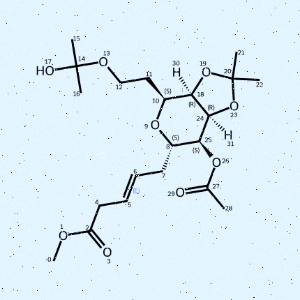 COC(=O)C/C=C/C[C@@H]1O[C@@H](CCOC(C)(C)O)[C@H]2OC(C)(C)O[C@H]2[C@H]1OC(C)=O